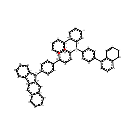 C1=Cc2c(cccc2-c2ccc(N(c3ccc(-c4ccc(-n5c6ccccc6c6cc7ccccc7cc65)cc4)cc3)c3ccccc3-c3ccccc3)cc2)CC1